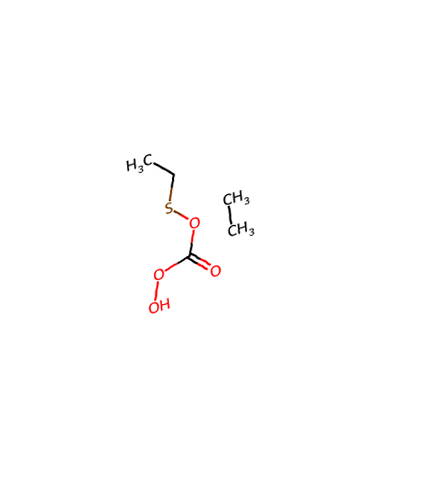 CC.CCSOC(=O)OO